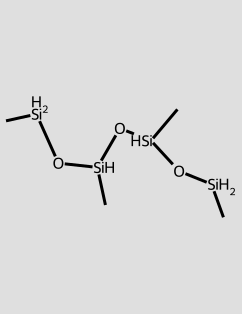 C[SiH2]O[SiH](C)O[SiH](C)O[SiH2]C